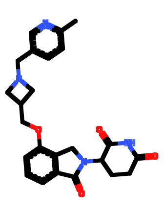 Cc1ccc(CN2CC(COc3cccc4c3CN(C3CCC(=O)NC3=O)C4=O)C2)cn1